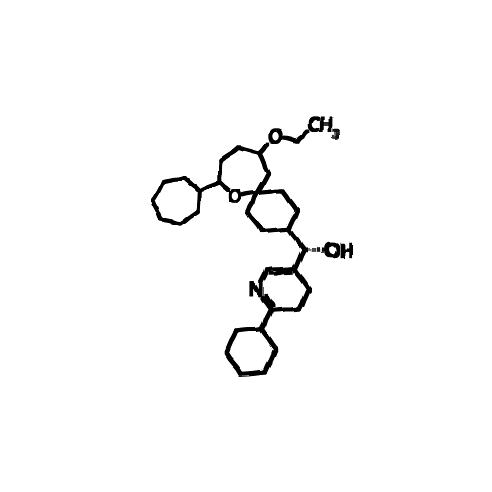 CCOC1CCC(C2CCCCCC2)OC2(CCC([C@H](O)C3=CN=C(C4CCCCC4)CC3)CC2)C1